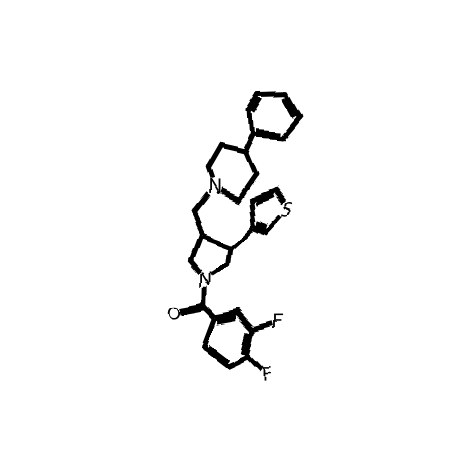 O=C(c1ccc(F)c(F)c1)N1CC(CN2CCC(c3ccccc3)CC2)C(c2ccsc2)C1